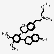 CCN(Cc1ccc(CCN(C)CCOC)cc1)c1cc(OC)c(OC)cc1[C@@H]1CCc2cc(O)ccc2C1